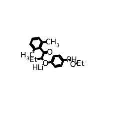 CCOPc1ccc(OC(CC)C(=O)c2c(C)cccc2C)cc1.[LiH]